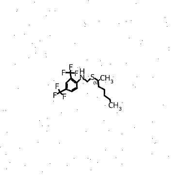 CCCCC[C@H](C)SCNc1ccc(C(F)(F)F)cc1C(F)(F)F